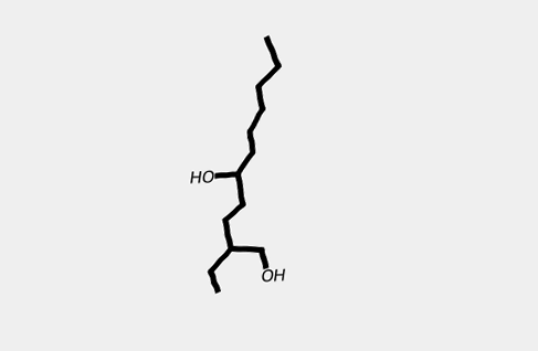 CCCCCCC(O)CCC(CC)CO